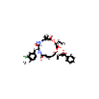 COc1ccc(C[C@H]2NC(=O)/C=C/C[C@@H](C(C)[C@H]3OC3c3ccccc3)OC(=O)[C@H](CC(C)C)OC(=O)C(C)(C)CNC2=O)cc1Cl